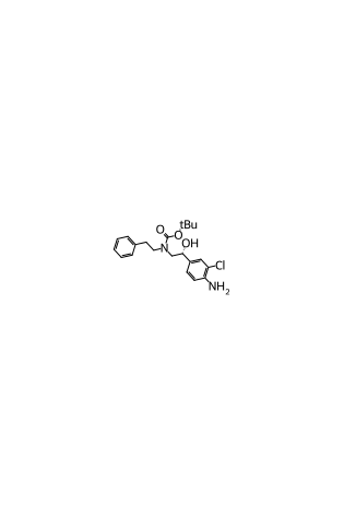 CC(C)(C)OC(=O)N(CCc1ccccc1)C[C@H](O)c1ccc(N)c(Cl)c1